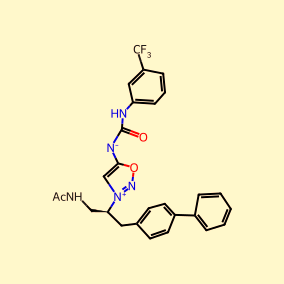 CC(=O)NC[C@H](Cc1ccc(-c2ccccc2)cc1)[n+]1cc([N-]C(=O)Nc2cccc(C(F)(F)F)c2)on1